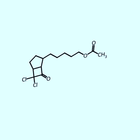 CC(=O)OCCCCCC1CCC2C1C(=O)C2(Cl)Cl